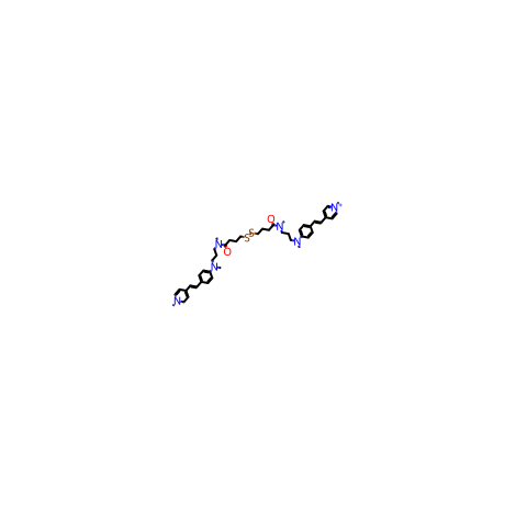 CN1C=CC(/C=C/c2ccc(N(C)CCCN(C)C(=O)CCCSSCCCC(=O)N(C)CCCN(C)c3ccc(/C=C/c4cc[n+](C)cc4)cc3)cc2)=CC1